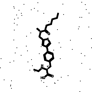 CCCCCC(=O)N(C)Cc1cc(-c2ccc(C[C@H](NCC)C(=O)O)cc2)cs1